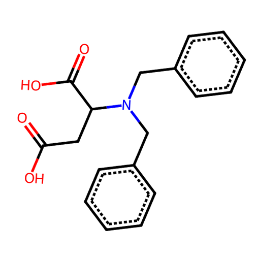 O=C(O)CC(C(=O)O)N(Cc1ccccc1)Cc1ccccc1